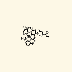 C=CC(=O)N1CCN(c2nc(=O)n(-c3c(SC)ccnc3C(C)C)c3nc(-c4c(N)cccc4F)c(F)cc23)C(C)C1